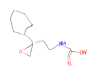 O=C(O)NCC[C@]1(C2CCCCC2)CO1